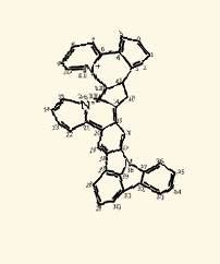 c1ccc2c(c1)-c1cccc[n+]1C1c3c(c4cc5c(cc4c4cccc[n+]34)c3cccc4c6ccccc6n5c43)CC21